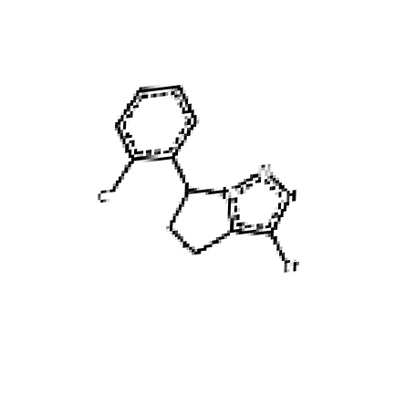 [CH2]Cc1nnn2c1CCC2c1ccccc1Cl